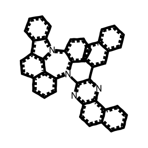 c1ccc2cc(-c3nc4c(ccc5ccccc54)nc3-n3c4cccc5ccc6c7ccccc7n(c7ccccc73)c6c54)ccc2c1